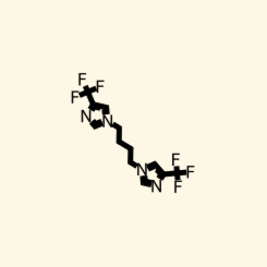 FC(F)(F)c1cn(CCCCn2cnc(C(F)(F)F)c2)cn1